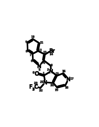 O=c1n(Cc2ncc3ccccc3c2Br)c2cnccc2n1CC(F)(F)F